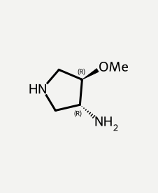 CO[C@@H]1CNC[C@H]1N